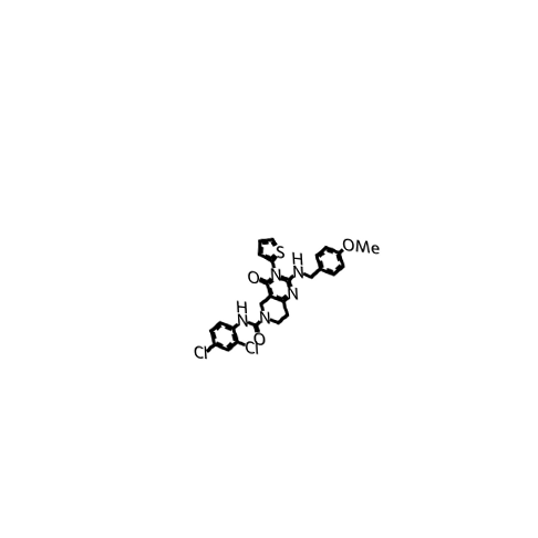 COc1ccc(CNc2nc3c(c(=O)n2-c2cccs2)CN(C(=O)Nc2ccc(Cl)cc2Cl)CC3)cc1